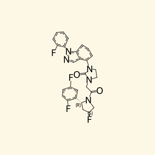 O=C1N(CC(=O)N2C[C@@H](F)C[C@@H]2c2cc(F)ccc2F)CCN1c1cccc2c1cnn2-c1ccccc1F